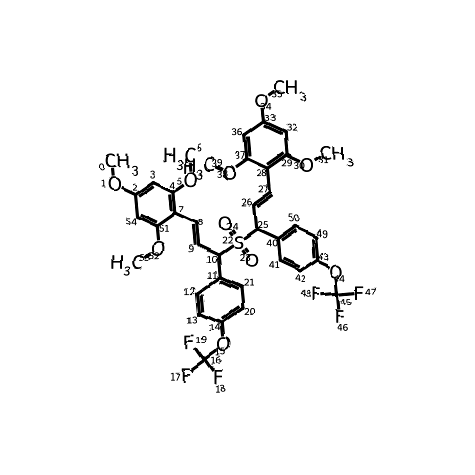 COc1cc(OC)c(/C=C/C(c2ccc(OC(F)(F)F)cc2)S(=O)(=O)C(/C=C/c2c(OC)cc(OC)cc2OC)c2ccc(OC(F)(F)F)cc2)c(OC)c1